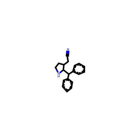 N#CCC1CCNC1C(c1ccccc1)c1ccccc1